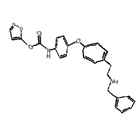 O=C(Nc1ccc(Oc2ccc(CCNCc3ccccc3)cc2)cc1)Oc1ccno1